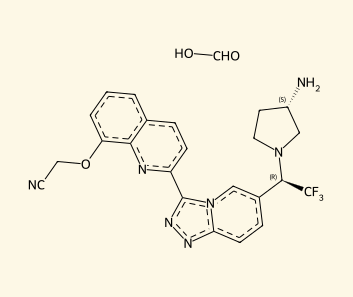 N#CCOc1cccc2ccc(-c3nnc4ccc([C@@H](N5CC[C@H](N)C5)C(F)(F)F)cn34)nc12.O=CO